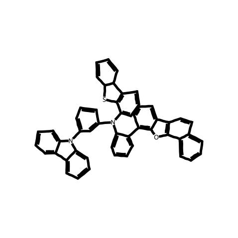 C1=CC2Sc3c(cccc3N(c3cccc(-n4c5ccccc5c5ccccc54)c3)c3ccccc3-c3cccc4c3oc3c5ccccc5ccc43)C2C=C1